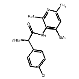 CCCCCCC(C(=O)Nc1c(SC)cc(C)nc1SC)c1ccc(Cl)cc1